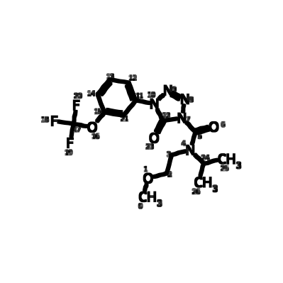 COCCN(C(=O)n1nnn(-c2cccc(OC(F)(F)F)c2)c1=O)C(C)C